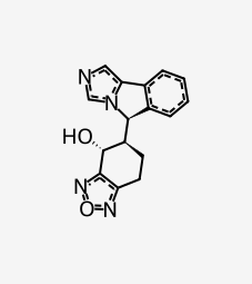 O[C@H]1c2nonc2CC[C@@H]1[C@@H]1c2ccccc2-c2cncn21